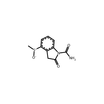 C[S+]([O-])c1cccc2c1CC(=O)N2C(N)=O